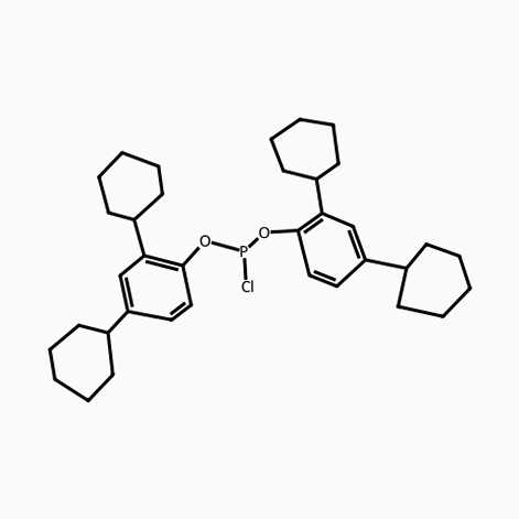 ClP(Oc1ccc(C2CCCCC2)cc1C1CCCCC1)Oc1ccc(C2CCCCC2)cc1C1CCCCC1